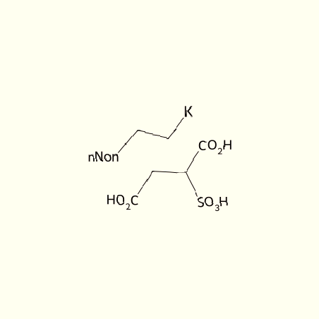 CCCCCCCCCC[CH2][K].O=C(O)CC(C(=O)O)S(=O)(=O)O